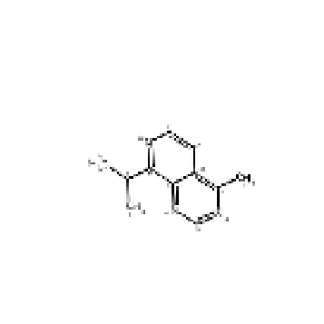 Cc1ncnc2c(C(C)C)nccc12